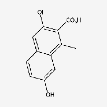 Cc1c(C(=O)O)c(O)cc2ccc(O)cc12